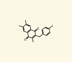 CC1=C(Cc2ccc(I)cc2)C(=O)c2cc(C)c(C)cc2C1=O